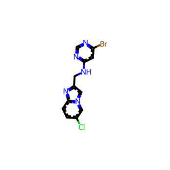 Clc1ccc2nc(CNc3cc(Br)ncn3)cn2c1